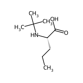 CCC[C@H](NC(C)(C)C)C(=O)O